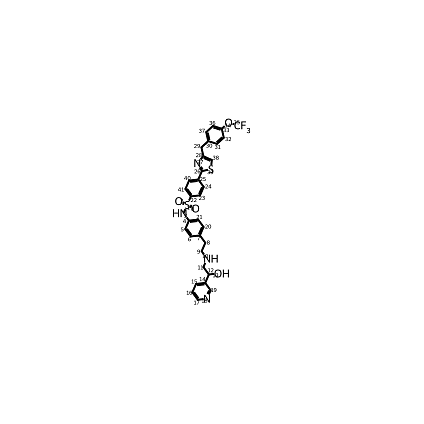 O=S(=O)(Nc1ccc(CCNCC(O)c2cccnc2)cc1)c1ccc(-c2nc(Cc3ccc(OC(F)(F)F)cc3)cs2)cc1